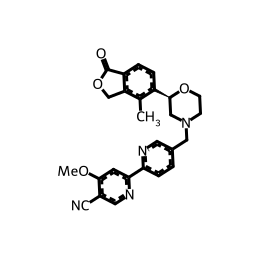 COc1cc(-c2ccc(CN3CCO[C@H](c4ccc5c(c4C)COC5=O)C3)cn2)ncc1C#N